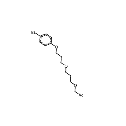 CCc1ccc(OCCCOCCCOCC(C)=O)cc1